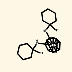 CC(C)C1(P[C]23[CH]4[CH]5[CH]6[C]2(PC2(C(C)C)CCCCC2)[Fe]54632789[CH]3[CH]2[CH]7[CH]8[CH]39)CCCCC1